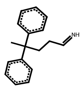 CC(CCC=N)(c1ccccc1)c1ccccc1